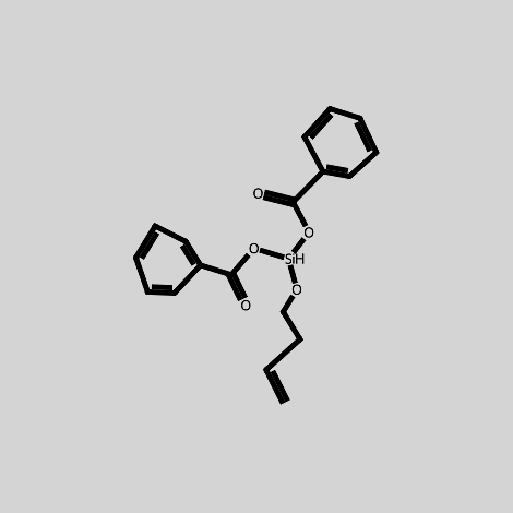 C=CCCO[SiH](OC(=O)c1ccccc1)OC(=O)c1ccccc1